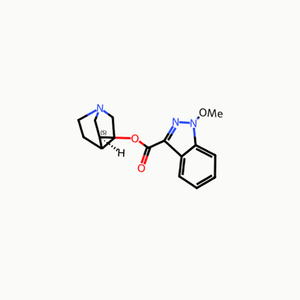 COn1nc(C(=O)O[C@@H]2CN3CCC2CC3)c2ccccc21